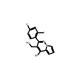 CC(C)c1c(CO)c(-c2ccc(F)cc2F)nn2cccc12